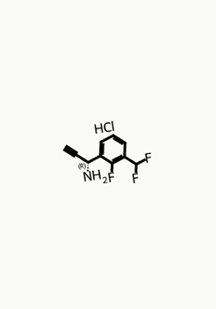 C#C[C@@H](N)c1cccc(C(F)F)c1F.Cl